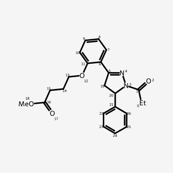 CCC(=O)N1N=C(c2ccccc2OCCCC(=O)OC)CC1c1ccccc1